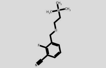 C[Si](C)(C)CCOCc1cccc(C#N)c1F